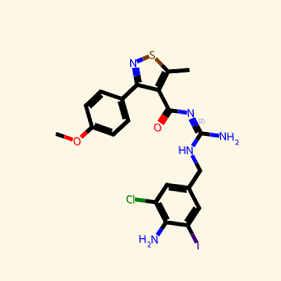 COc1ccc(-c2nsc(C)c2C(=O)/N=C(/N)NCc2cc(Cl)c(N)c(I)c2)cc1